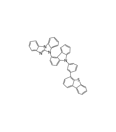 c1cc(-c2cccc3c2sc2ccccc23)cc(-n2c3ccccc3c3c(-n4c5ccccc5n5c6ccccc6nc45)cccc32)c1